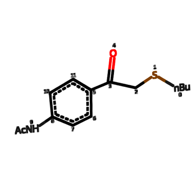 CCCCSCC(=O)c1ccc(NC(C)=O)cc1